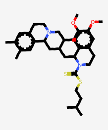 CCC1CN2CCc3cc(C)c(C)cc3C2CC1CC1c2cc(OC)c(OC)cc2CCN1C(=S)SCCC(C)C